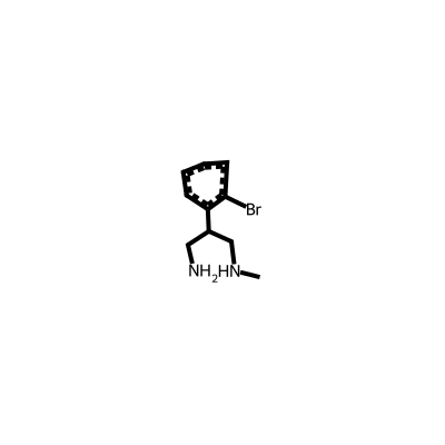 CNCC(CN)c1ccccc1Br